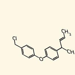 CC=CC(C)c1ccc(Oc2ccc(CCl)cc2)cc1